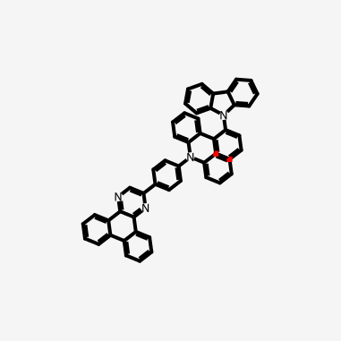 c1ccc(N(c2ccc(-c3cnc4c5ccccc5c5ccccc5c4n3)cc2)c2ccccc2-c2ccccc2-n2c3ccccc3c3ccccc32)cc1